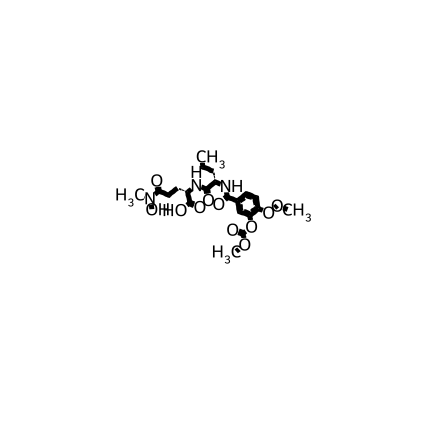 CCC[C@H](NC(=O)c1ccc(OOC)c(OC(=O)OC)c1)C(=O)N[C@@H](CCC(=O)N(C)O)C(=O)O